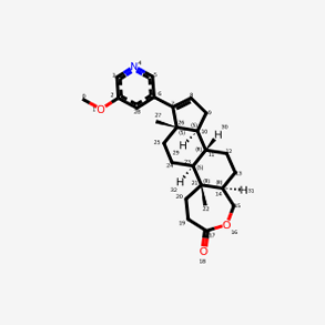 COc1cncc(C2=CC[C@H]3[C@@H]4CC[C@H]5COC(=O)CC[C@]5(C)[C@H]4CC[C@]23C)c1